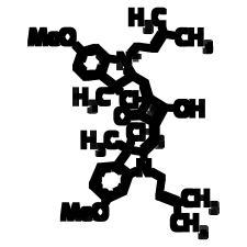 COc1ccc2c(c1)N(CC=C(C)C)/C(=C/C1=C(O)C(=C/C3=[N+](CC=C(C)C)c4cc(OC)ccc4C3(C)C)/C1=O)C2(C)C